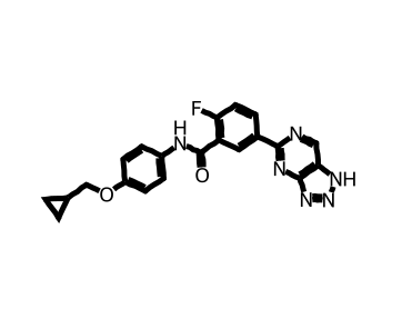 O=C(Nc1ccc(OCC2CC2)cc1)c1cc(-c2ncc3[nH]nnc3n2)ccc1F